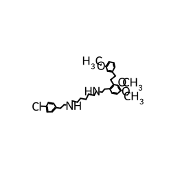 COc1cccc(CCc2c(CCNCCCCCCNCCc3ccc(Cl)cc3)ccc(OC)c2OC)c1